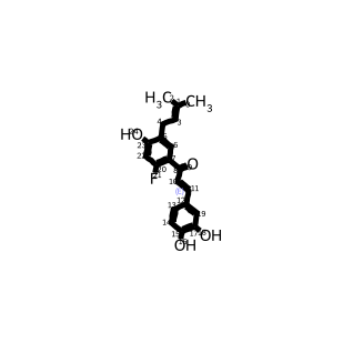 CC(C)=CCc1cc(C(=O)/C=C/c2ccc(O)c(O)c2)c(F)cc1O